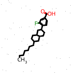 CCCCCCCC1CCC2CC(c3ccc(C(=O)O)cc3F)CCC2C1